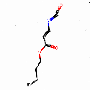 CC(C)CCCOC(=O)/C=C/N=C=O